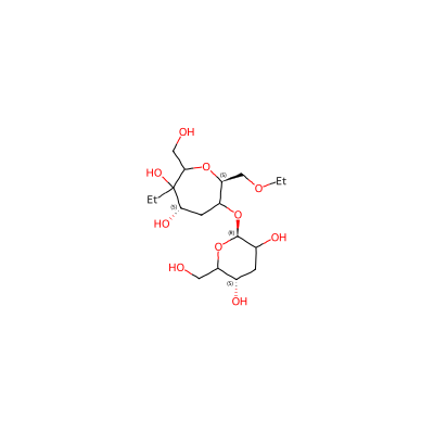 CCOC[C@@H]1OC(CO)C(O)(CC)[C@@H](O)CC1O[C@@H]1OC(CO)[C@@H](O)CC1O